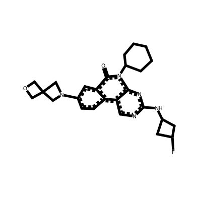 O=c1c2cc(N3CC4(COC4)C3)ccc2c2cnc(NC3CC(F)C3)nc2n1C1CCCCC1